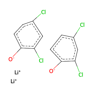 [Li+].[Li+].[O-]c1ccc(Cl)cc1Cl.[O-]c1ccc(Cl)cc1Cl